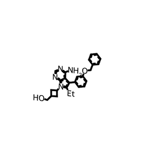 CCc1c(-c2cccc(OCc3ccccc3)c2)c2c(N)ncnc2n1C1CC(CO)C1